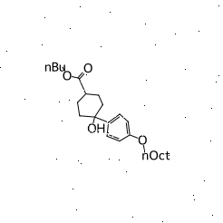 CCCCCCCCOc1ccc(C2(O)CCC(C(=O)OCCCC)CC2)cc1